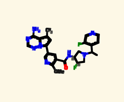 COc1ncc(-c2cc(C(F)(F)F)c3c(N)ncnn23)cc1C(=O)N[C@@H]1CN(C(C)c2ccncc2F)C[C@@H]1F